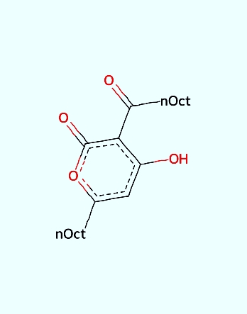 CCCCCCCCC(=O)c1c(O)cc(CCCCCCCC)oc1=O